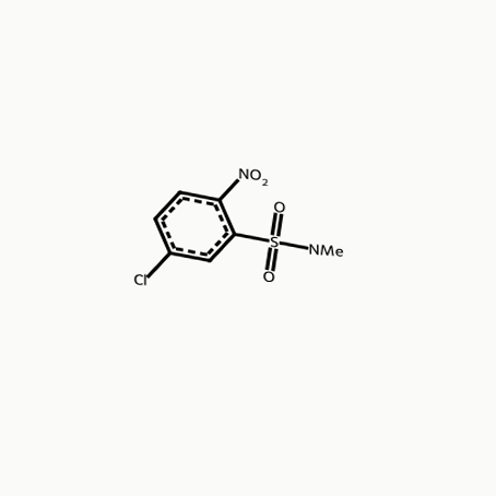 CNS(=O)(=O)c1cc(Cl)ccc1[N+](=O)[O-]